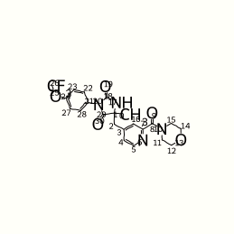 CC1(Cc2ccnc(C(=O)N3CCOCC3)c2)NC(=O)N(c2ccc(OC(F)(F)F)cc2)C1=O